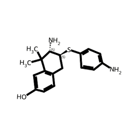 CC1(C)c2cc(O)ccc2C[C@H](Sc2ccc(N)cc2)[C@H]1N